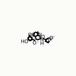 C[C@H]1[C@H](NC(=O)c2ccc[n+]([O-])c2)C[C@H]2C(C)(C)CCC[C@]2(C)[C@H]1C(=O)c1cc(O)cc(O)c1